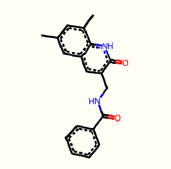 Cc1cc(C)c2[nH]c(=O)c(CNC(=O)c3ccccc3)cc2c1